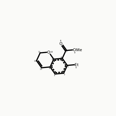 CCc1ccc2c(c1C(=O)OC)OCC=C2